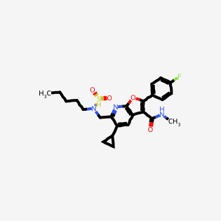 CCCCCN(Cc1nc2oc(-c3ccc(F)cc3)c(C(=O)NC)c2cc1C1CC1)[SH](=O)=O